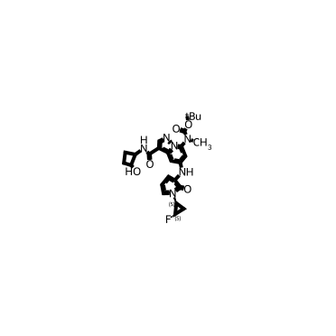 CN(C(=O)OC(C)(C)C)c1cc(Nc2cccn([C@H]3C[C@@H]3F)c2=O)cc2c(C(=O)NC3CCC3O)cnn12